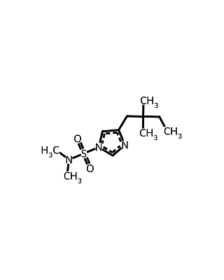 CCC(C)(C)Cc1cn(S(=O)(=O)N(C)C)cn1